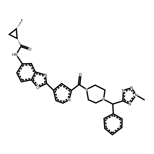 Cn1nnc(C(c2ccccc2)N2CCN(C(=O)c3cc(-c4nc5cc(NC(=O)[C@@H]6C[C@@H]6F)ccc5o4)ccn3)CC2)n1